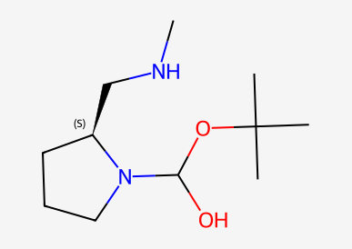 CNC[C@@H]1CCCN1C(O)OC(C)(C)C